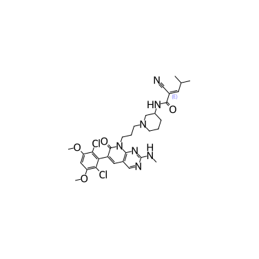 CNc1ncc2cc(-c3c(Cl)c(OC)cc(OC)c3Cl)c(=O)n(CCCN3CCCC(NC(=O)/C(C#N)=C/C(C)C)C3)c2n1